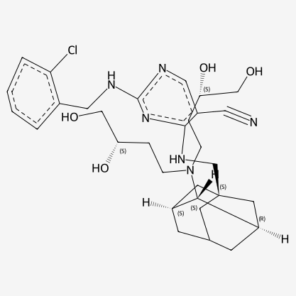 N#Cc1cnc(NCc2ccccc2Cl)nc1NC[C@]12CC3C[C@H](C1)[C@@H](N(CC[C@H](O)CO)CC[C@H](O)CO)[C@@H](C3)C2